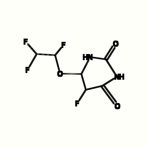 O=C1NC(=O)C(F)C(OC(F)C(F)F)N1